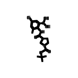 Cc1cc(Cl)cc(B(O)O)c1NC(=O)C1CCN(C(=O)OC(C)(C)C)C1